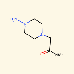 CNC(=O)CN1CCN(N)CC1